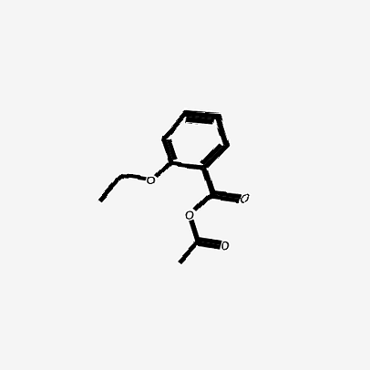 CCOc1ccccc1C(=O)OC(C)=O